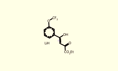 CCOC(=O)C(=O)/C=C(\O)c1cccc(OC(F)(F)F)c1.[LiH]